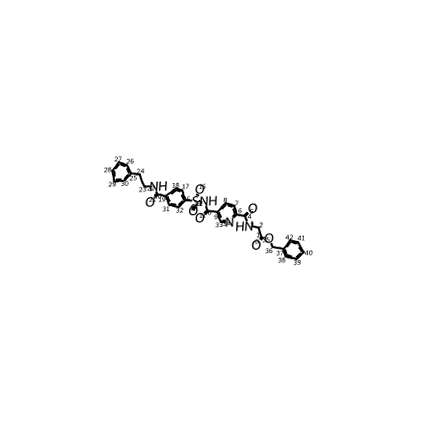 O=C(CNC(=O)c1ccc(C(=O)NS(=O)(=O)c2ccc(C(=O)NCCc3ccccc3)cc2)cn1)OCc1ccccc1